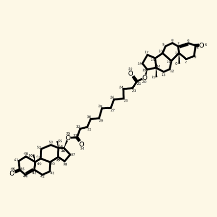 C[C@]12CCC(=O)C=C1CCC1C2CC[C@@]2(C)C1CC[C@@H]2OC(=O)CCCCCCCCCCC(=O)O[C@H]1CCC2C3CCC4=CC(=O)CC[C@]4(C)C3CC[C@@]21C